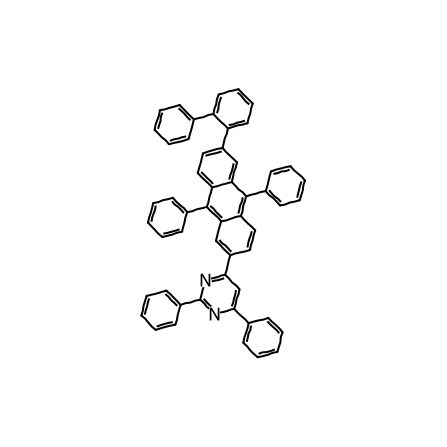 c1ccc(-c2cc(-c3ccc4c(-c5ccccc5)c5cc(-c6ccccc6-c6ccccc6)ccc5c(-c5ccccc5)c4c3)nc(-c3ccccc3)n2)cc1